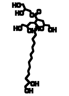 O=C(OCC(O)CO)C(CC(O)CO)C(CCCCCCCCCCCCCCC(O)CO)CC(O)CO